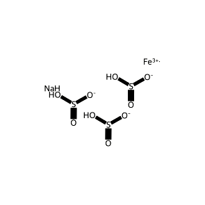 O=S([O-])O.O=S([O-])O.O=S([O-])O.[Fe+3].[NaH]